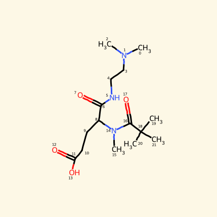 CN(C)CCNC(=O)C(CCC(=O)O)N(C)C(=O)C(C)(C)C